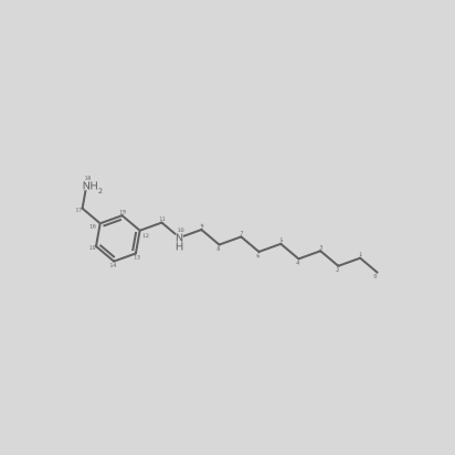 CCCCCCCCCCNCc1cccc(CN)c1